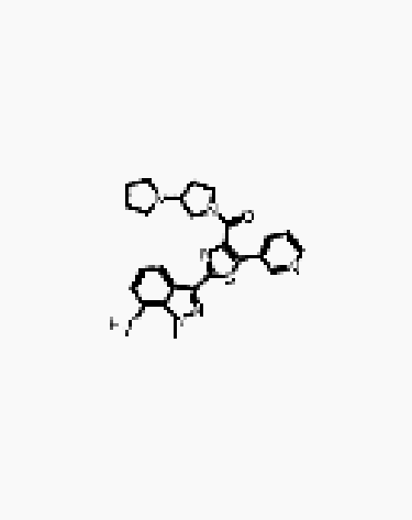 Cc1cccc2c(-c3nc(C(=O)N4CCC(N5CCCC5)C4)c(-c4cccnc4)s3)n[nH]c12